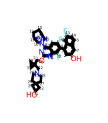 Oc1cc(-c2ccc3c(N4CC5CCC(C4)N5)nc(OCC4(CN5CCC6(CC5)CC(O)C6)CC4)nc3c2F)c2c(F)c(F)ccc2c1